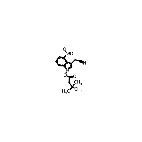 CC(C)(C)CC(=O)On1cc(CC#N)c2c([N+](=O)[O-])cccc21